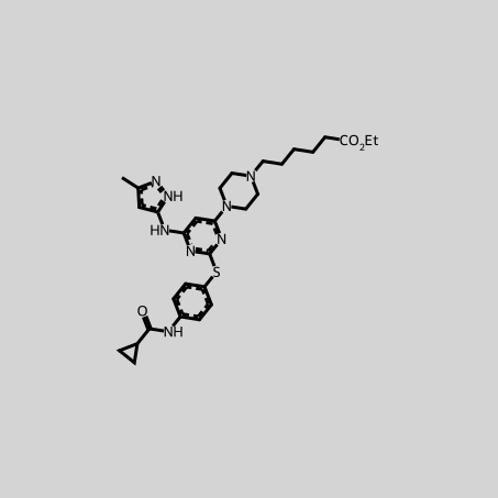 CCOC(=O)CCCCCN1CCN(c2cc(Nc3cc(C)n[nH]3)nc(Sc3ccc(NC(=O)C4CC4)cc3)n2)CC1